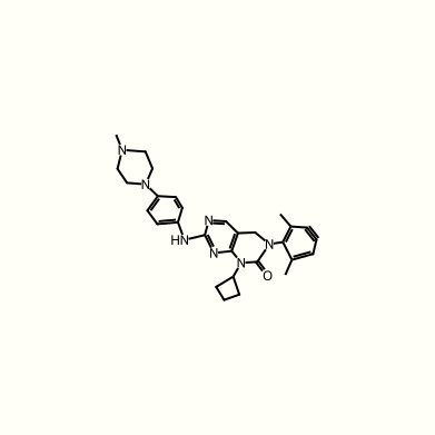 Cc1c#ccc(C)c1N1Cc2cnc(Nc3ccc(N4CCN(C)CC4)cc3)nc2N(C2CCC2)C1=O